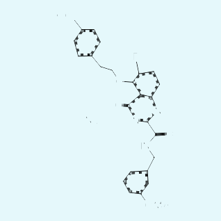 COc1cccc(CNC(=O)c2nc3ccc(F)c(OCCc4ccc(C(=O)[O-])cc4)c3c(=O)[nH]2)c1.[Na+]